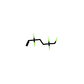 C=CC(F)(F)CCC(F)(F)CF